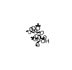 CCC(C(=O)O)N(CCOC)C(=O)OC(C)(C)C.CCOC(=O)CN(CCOC)C(=O)OC(C)(C)C